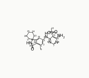 Cc1cc(Nc2ncnc(N)c2S(C)(=O)=O)cc2c1C(=O)NC21CCCCC1